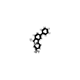 CC(C)C1=CN2C(C=C1)c1cc(-c3ccccc3)ccc1[C@H]2C